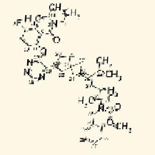 CCN(C(=O)c1cc(F)ccc1Oc1nncnc1N1CCC2(C1)CN(C(CCC(C)(C)N(Cc1ccccc1)C(=O)OC)C(C)C)C2)C(C)C